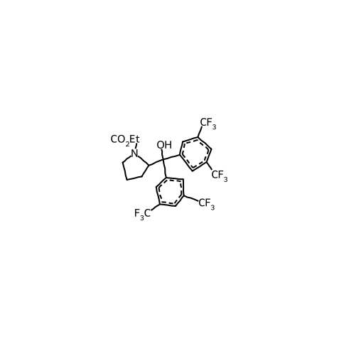 CCOC(=O)N1CCCC1C(O)(c1cc(C(F)(F)F)cc(C(F)(F)F)c1)c1cc(C(F)(F)F)cc(C(F)(F)F)c1